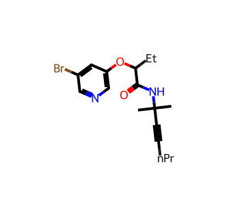 CCCC#CC(C)(C)NC(=O)C(CC)Oc1cncc(Br)c1